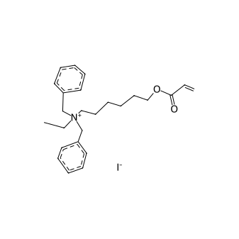 C=CC(=O)OCCCCCC[N+](CC)(Cc1ccccc1)Cc1ccccc1.[I-]